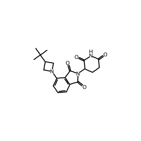 CC(C)(C)C1CN(c2cccc3c2C(=O)N(C2CCC(=O)NC2=O)C3=O)C1